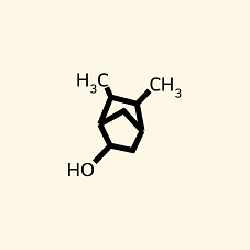 CC1C2CC(O)C(C2)C1C